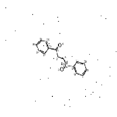 O=C(CC[13C](=O)c1ccccc1)c1ccccc1